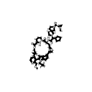 CO[C@@H](C)c1ncccc1-c1c2c3cc(ccc3n1CC(F)(F)F)-c1csc(n1)C[C@H](NC(=O)C(C1CCCC1)N1CC[C@]3(CCN(C(=O)[C@H]4CN4C)C3)C1)C(=O)N1CCC[C@H](N1)C(=O)OCC(C)(C)C2